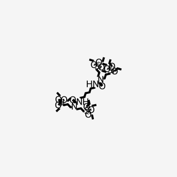 CCO[Si](CCCN(CCC[Si](OCC)(OCC)OCC)C(=O)NCCCCCCNC(=O)N(CCC[Si](OCC)(OCC)OCC)CCC[Si](OCC)(OCC)OCC)(OCC)OCC